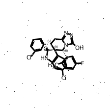 Cc1ccc(F)cc1[C@H]1n2c(O)nnc2C[C@@H](c2cccc(Cl)c2)[C@]12C(=O)Nc1cc(Cl)ccc12